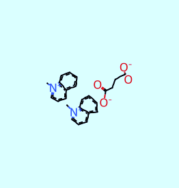 C[n+]1cccc2ccccc21.C[n+]1cccc2ccccc21.O=C([O-])CCC(=O)[O-]